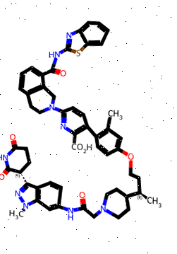 Cc1cc(OCC[C@@H](C)C2CCN(CC(=O)Nc3ccc4c([C@H]5CCC(=O)NC5=O)nn(C)c4c3)CC2)ccc1-c1ccc(N2CCc3cccc(C(=O)Nc4nc5ccccc5s4)c3C2)nc1C(=O)O